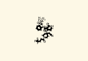 CN(C)S(=O)(=O)c1ccccc1Nc1nn(C2(CC#N)CCN(C(=O)CCC(F)(F)F)CC2)c2cc[nH]c(=O)c12